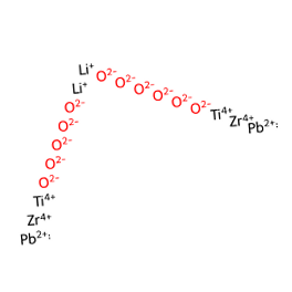 [Li+].[Li+].[O-2].[O-2].[O-2].[O-2].[O-2].[O-2].[O-2].[O-2].[O-2].[O-2].[O-2].[Pb+2].[Pb+2].[Ti+4].[Ti+4].[Zr+4].[Zr+4]